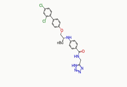 CCCC[C@@H](COc1ccc(-c2ccc(Cl)cc2Cl)cc1)Nc1ccc(C(=O)NCc2nnn[nH]2)cc1